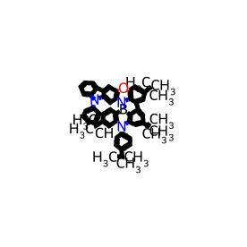 CC(C)(C)c1ccc(N2c3cc(C(C)(C)C)ccc3B3c4c(cc(C(C)(C)C)cc42)-c2cc(C(C)(C)C)cc4c2N3c2cc3c(cc2O4)c2ccccc2n3-c2ccccc2)cc1